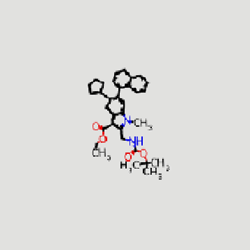 CCOC(=O)c1c(CNC(=O)OC(C)(C)C)n(C)c2cc(-c3cccc4ccccc34)c(C3=CCCC3)cc12